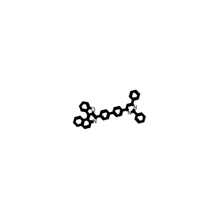 C1=CC(c2nc(-c3ccccc3)cc(-c3ccc(-c4ccc(-c5nc6ccc7c(c6c6c8c(oc56)=CCCC=8)C=CCC7)cc4)cc3)n2)=CCC1